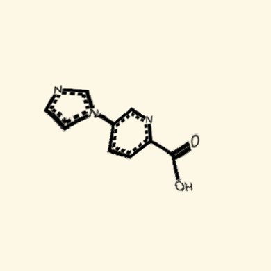 O=C(O)c1ccc(-n2ccnc2)cn1